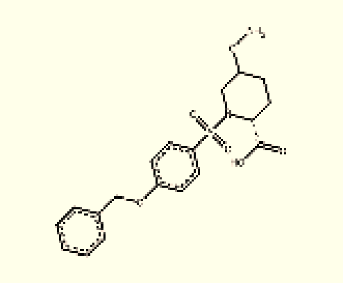 NOC1CC[C@H](C(=O)O)N(S(=O)(=O)c2ccc(OCc3ccccc3)cc2)C1